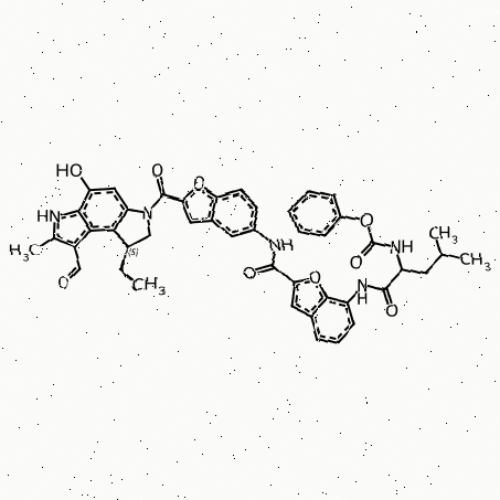 CC[C@@H]1CN(C(=O)c2cc3cc(NC(=O)c4cc5cccc(NC(=O)C(CC(C)C)NC(=O)Oc6ccccc6)c5o4)ccc3o2)c2cc(O)c3[nH]c(C)c(C=O)c3c21